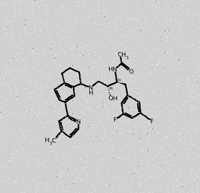 CC(=O)N[C@@H](Cc1cc(F)cc(F)c1)[C@H](O)CNC1CCCc2ccc(-c3cc(C)ccn3)cc21